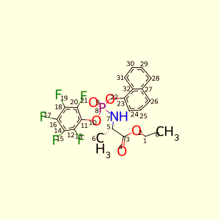 CCOC(=O)[C@H](C)NP(=O)(Oc1c(F)c(F)c(F)c(F)c1F)Oc1cccc2ccccc12